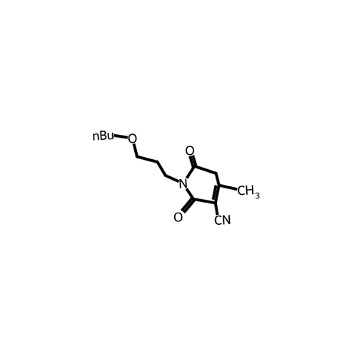 CCCCOCCCN1C(=O)CC(C)=C(C#N)C1=O